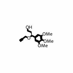 C#CCO[C@@H](CCO)c1cc(OC)c(OC)c(OC)c1